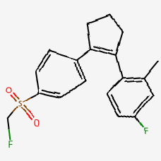 Cc1cc(F)ccc1C1=C(c2ccc(S(=O)(=O)CF)cc2)CCC1